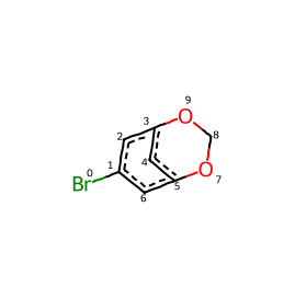 Brc1cc2cc(c1)OCO2